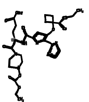 CCOC(=O)ON1CCN(C(=O)[C@H](CCC(=O)O)NC(=O)c2cc(OC3(C(=O)OCC)CCC3)n(-c3nccs3)n2)CC1